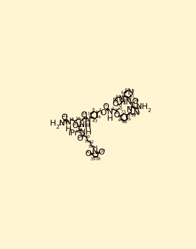 CC(CNC(=O)OCc1ccc(NC(=O)[C@H](CCCNC(N)=O)NC(=O)C(NC(=O)CCCCCN2C(=O)C=CC2=O)C(C)C)cc1)Oc1cccc(-c2cnc(N)c(C(=O)Nc3cnccc3N3CCOCC3)n2)c1